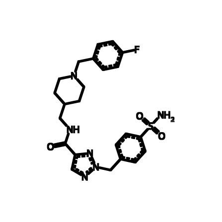 NS(=O)(=O)c1ccc(Cn2ncc(C(=O)NCC3CCN(Cc4ccc(F)cc4)CC3)n2)cc1